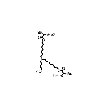 CCCCCCC(CCCC)C(=O)OCCCCCCCN(CCCCO)CCCCCCCOC(=O)C(CCCC)CCCCCC